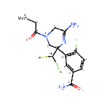 COCC(=O)N1CC(N)=NC(c2cc(C(N)=O)ccc2F)(C(F)F)C1